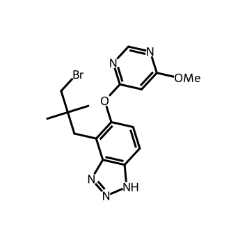 COc1cc(Oc2ccc3[nH]nnc3c2CC(C)(C)CBr)ncn1